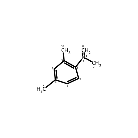 C=[N+](C)c1ccc(C)cc1C